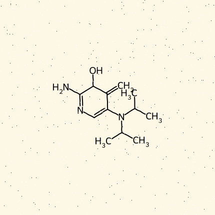 C=C1C(N(C(C)C)C(C)C)=CN=C(N)C1O